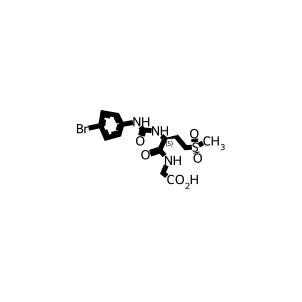 CS(=O)(=O)CC[C@H](NC(=O)Nc1ccc(Br)cc1)C(=O)NCC(=O)O